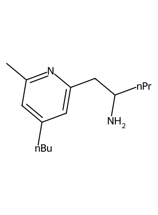 CCCCc1cc(C)nc(CC(N)CCC)c1